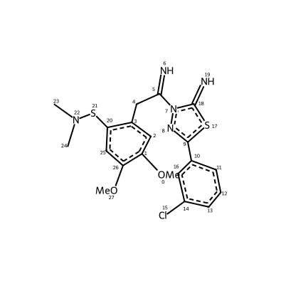 COc1cc(CC(=N)n2nc(-c3cccc(Cl)c3)sc2=N)c(SN(C)C)cc1OC